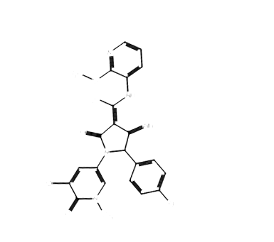 COc1ncccc1N/C(C)=C1\C(=N)C(c2ccc(Cl)cc2)N(c2cc(Cl)c(=O)n(C)c2)C1=O